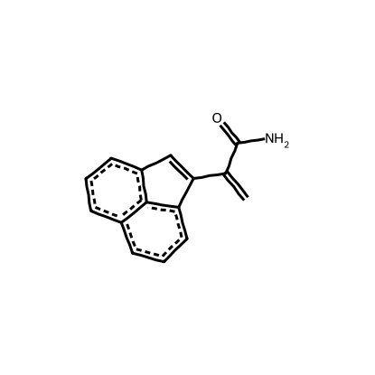 C=C(C(N)=O)C1=Cc2cccc3cccc1c23